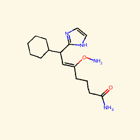 NOC(=CC(c1ncc[nH]1)C1CCCCC1)CCCC(N)=O